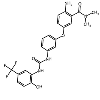 CN(C)C(=O)c1cc(Oc2cccc(NC(=O)Nc3cc(C(F)(F)F)ccc3O)c2)ccc1N